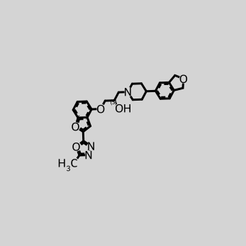 Cc1nnc(-c2cc3c(OC[C@@H](O)CN4CCC(c5ccc6c(c5)COC6)CC4)cccc3o2)o1